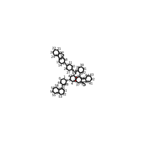 c1cc(-c2cccc(N(c3ccc(-c4ccc5c(c4)sc4ccccc45)cc3)c3ccccc3-c3cccc4sc5ccccc5c34)c2)cc(-c2cccc3ccccc23)c1